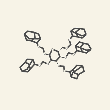 C(OC[C@H]1O[C@H](OCOC2C3CC4CC(C3)CC2C4)[C@H](OCOC2C3CC4CC(C3)CC2C4)[C@@H](OCOC2C3CC4CC(C3)CC2C4)[C@@H]1OCOC1C2CC3CC(C2)CC1C3)OC1C2CC3CC(C2)CC1C3